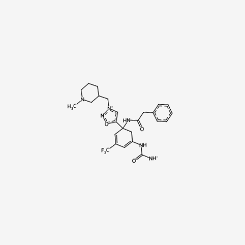 CN1CCCC(C[n+]2cc(C3(NC(=O)Cc4ccccc4)C=C(C(F)(F)F)C=C(NC([NH-])=O)C3)on2)C1